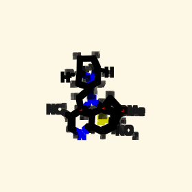 COc1ccc2ncc(C#N)c(CCN3[C@@H]4CC[C@H]3CC(N(C)c3ccc([N+](=O)[O-])s3)C4)c2c1